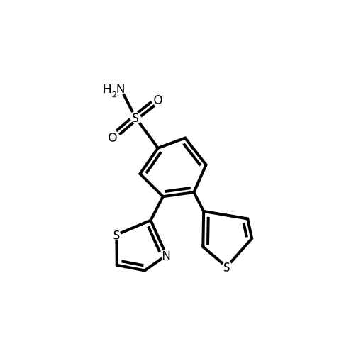 NS(=O)(=O)c1ccc(-c2ccsc2)c(-c2nccs2)c1